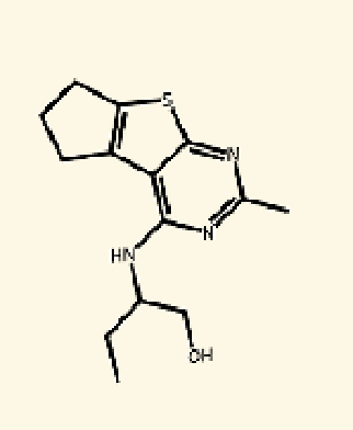 CCC(CO)Nc1nc(C)nc2sc3c(c12)CCC3